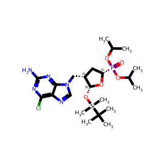 CC(C)OP(=O)(OC(C)C)[C@H]1C[C@@H](Cn2cnc3c(Cl)nc(N)nc32)[C@@H](O[Si](C)(C)C(C)(C)C)O1